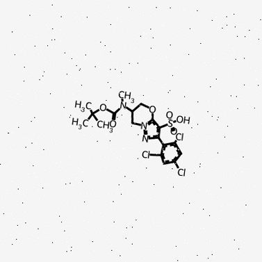 CN(C(=O)OC(C)(C)C)C1COc2c(S(=O)(=O)O)c(-c3c(Cl)cc(Cl)cc3Cl)nn2C1